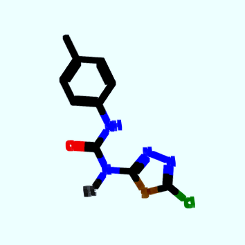 CCN(C(=O)Nc1ccc(C)cc1)c1nnc(Cl)s1